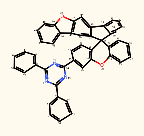 c1ccc(-c2nc(-c3ccccc3)nc(-c3ccc4c(c3)Oc3ccccc3C43c4ccccc4-c4cc5oc6ccccc6c5cc43)n2)cc1